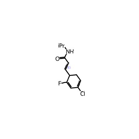 CC(C)NC(=O)/C=C/C1CC=C(Cl)C=C1F